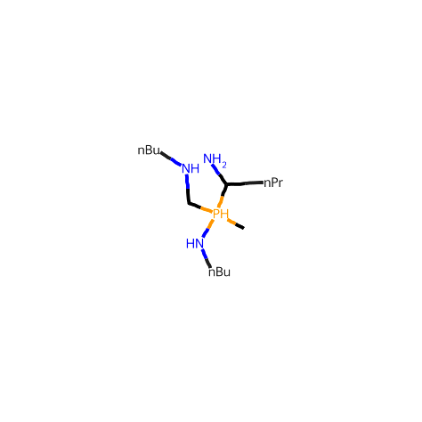 CCCCNC[PH](C)(NCCCC)C(N)CCC